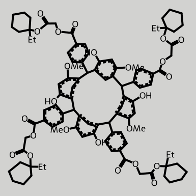 CCC1(OC(=O)COC(=O)c2ccc(C3c4cc(c(OC)cc4O)C(c4ccc(C(=O)OCC(=O)OC5(CC)CCCCC5)cc4)c4cc(c(OC)cc4O)C(c4ccc(C(=O)OCC(=O)OC5(CC)CCCCC5)cc4)c4cc(c(OC)cc4O)C(c4ccc(C(=O)OCC(=O)OC5(CC)CCCCC5)cc4)c4cc3c(OC)cc4O)cc2)CCCCC1